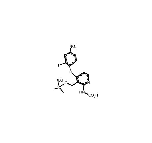 CC(C)(C)[Si](C)(C)OCc1c(Oc2ccc([N+](=O)[O-])cc2F)ccnc1NC(=O)O